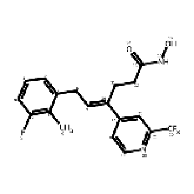 Cc1c(F)cccc1C/C=C(\CCC(=O)NO)c1ccnc(C(F)(F)F)c1